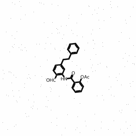 CC(=O)Oc1ccccc1C(=O)Nc1cc(CCc2ccccc2)ccc1C=O